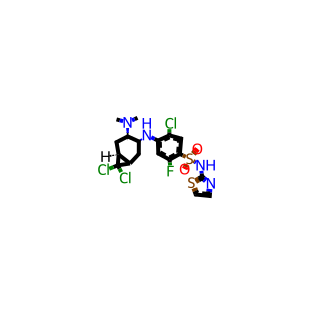 CN(C)[C@@H]1C[C@H]2C(C[C@H]1Nc1cc(F)c(S(=O)(=O)Nc3nccs3)cc1Cl)C2(Cl)Cl